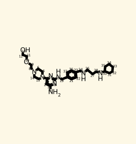 Nc1cc(N2CCN(CCOCCO)CC2)nc(NCc2ccc(CNCCCNC3CCCCC3)cc2)n1